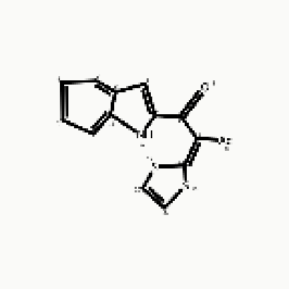 CC(=O)C(C(=O)c1cc2ccccc2[nH]1)=C1SC=CS1